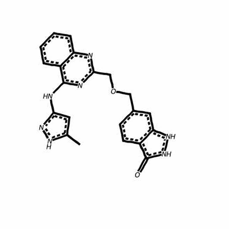 Cc1cc(Nc2nc(COCc3ccc4c(=O)[nH][nH]c4c3)nc3ccccc23)n[nH]1